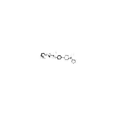 O=C(Nc1ccc(C2CCN(C(=O)C3CCCC3)CC2)cc1)C1CN(c2cccnn2)C1